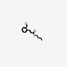 CCCCOC(=O)C=Cc1ccccc1C=O